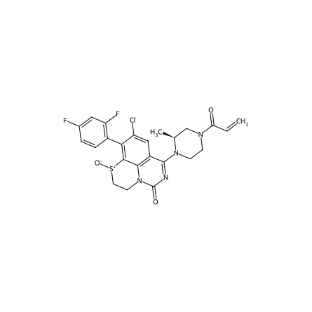 C=CC(=O)N1CCN(c2nc(=O)n3c4c(c(-c5ccc(F)cc5F)c(Cl)cc24)[S+]([O-])CC3)[C@@H](C)C1